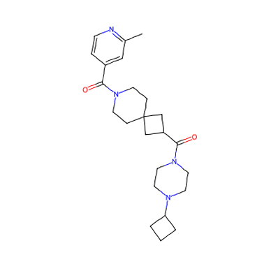 Cc1cc(C(=O)N2CCC3(CC2)CC(C(=O)N2CCN(C4CCC4)CC2)C3)ccn1